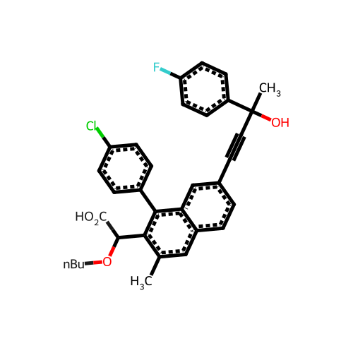 CCCCOC(C(=O)O)c1c(C)cc2ccc(C#CC(C)(O)c3ccc(F)cc3)cc2c1-c1ccc(Cl)cc1